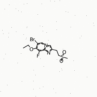 CCOc1c(Br)cn2cc(CCS(C)(=O)=O)nc2c1F